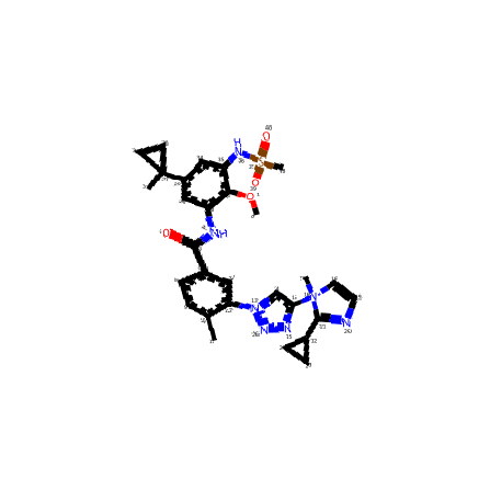 COc1c(NC(=O)c2ccc(C)c(-n3cc([N+]4(C)C=CN=C4C4CC4)nn3)c2)cc(C2(C)CC2)cc1NS(C)(=O)=O